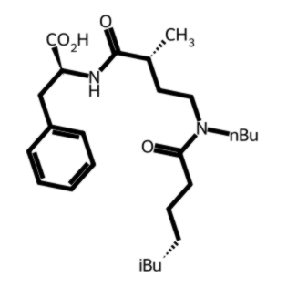 CCCCN(CC[C@@H](C)C(=O)N[C@@H](Cc1ccccc1)C(=O)O)C(=O)CCC[C@@H](C)CC